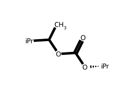 [CH2][C@@H](C)OC(=O)OC(C)C(C)C